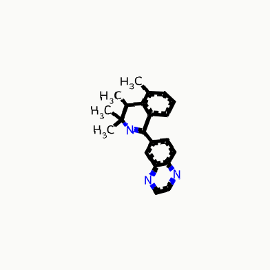 Cc1cccc2c1C(C)C(C)(C)N=C2c1ccc2nccnc2c1